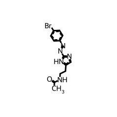 CC(=O)NCCc1cnc(N=Nc2ccc(Br)cc2)[nH]1